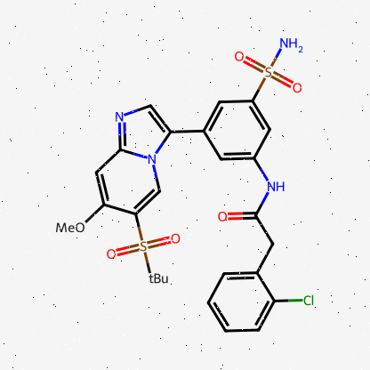 COc1cc2ncc(-c3cc(NC(=O)Cc4ccccc4Cl)cc(S(N)(=O)=O)c3)n2cc1S(=O)(=O)C(C)(C)C